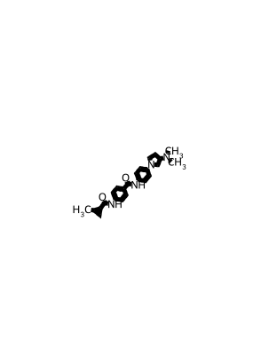 CC1CC1C(=O)Nc1ccc(C(=O)Nc2ccc(N3CCC(N(C)C)C3)cc2)cc1